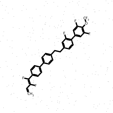 C=C/C(F)=C(\F)c1ccc(-c2ccc(CCc3ccc(-c4cc(F)c(OC(F)(F)F)c(F)c4)c(F)c3)cc2)cc1